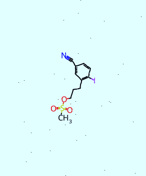 CS(=O)(=O)OCCCc1cc(C#N)ccc1I